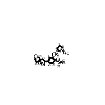 CC(=O)N1CCC[C@H]1COc1cc(C2=NOC3(CCOC3)C2)ccc1OC(F)F